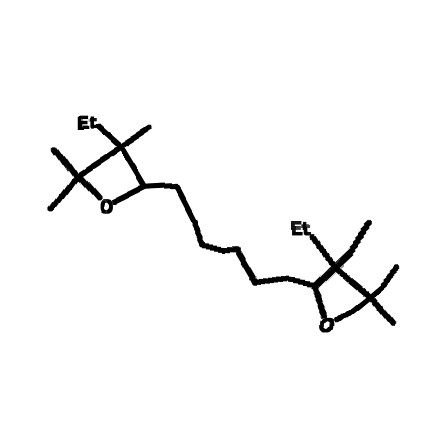 CCC1(C)C(CCCCC2OC(C)(C)C2(C)CC)OC1(C)C